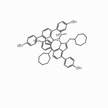 C[SiH](C)[Zr]([CH]1C(CC2CCCCCC2)=Cc2c(-c3ccc(C(C)(C)C)cc3)ccc(-c3ccc(C(C)(C)C)cc3)c21)[CH]1C(CC2CCCCCC2)=Cc2c(-c3ccc(C(C)(C)C)cc3)ccc(-c3ccc(C(C)(C)C)cc3)c21